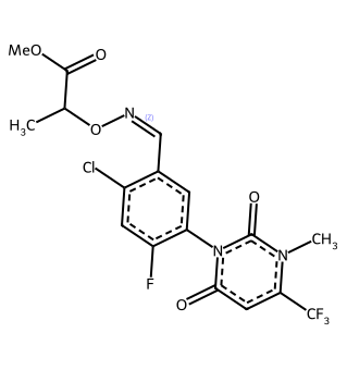 COC(=O)C(C)O/N=C\c1cc(-n2c(=O)cc(C(F)(F)F)n(C)c2=O)c(F)cc1Cl